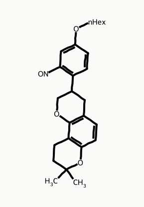 CCCCCCOc1ccc(C2COc3c(ccc4c3CCC(C)(C)O4)C2)c(N=O)c1